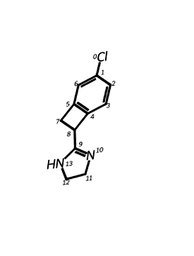 Clc1ccc2c(c1)CC2C1=NCCN1